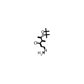 C=C(B1OC(C)(C)C1(C)C)C(=C)/C(Cl)=C\C=N/N